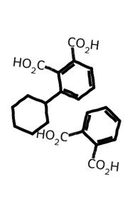 O=C(O)c1cccc(C2CCCCC2)c1C(=O)O.O=C(O)c1ccccc1C(=O)O